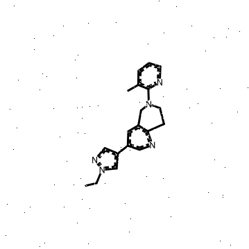 CCn1cc(-c2cnc3c(c2)CN(c2ncccc2C)CC3)cn1